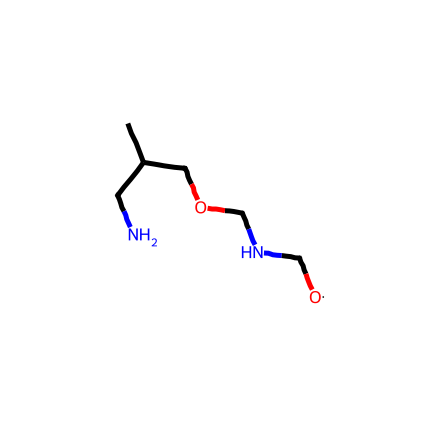 CC(CN)COCNC[O]